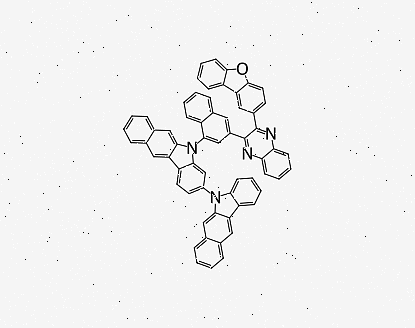 c1ccc2cc3c(cc2c1)c1ccccc1n3-c1ccc2c3cc4ccccc4cc3n(-c3cc(-c4nc5ccccc5nc4-c4ccc5oc6ccccc6c5c4)cc4ccccc34)c2c1